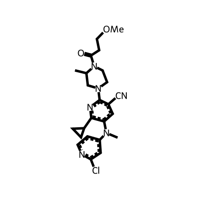 COCCC(=O)N1CCN(c2nc(C3CC3)c(N(C)c3ccnc(Cl)c3)cc2C#N)CC1C